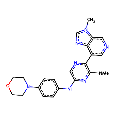 CNc1nc(Nc2ccc(N3CCOCC3)cc2)cnc1-c1cncc2c1ncn2C